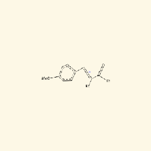 CCC(=O)/C(=C/c1ccc(OC)cc1)CC